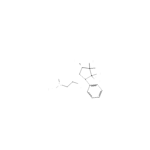 C[C@@H]1C[C@](OCCN(C)C)(c2ccccc2)C(C)(C)C1(C)C